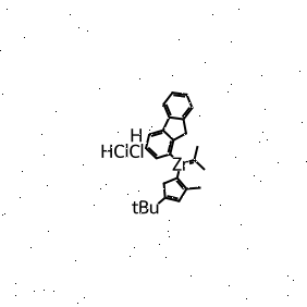 CC1=[C]([Zr](=[C](C)C)[c]2cccc3c2Cc2ccccc2-3)CC(C(C)(C)C)=C1.Cl.Cl